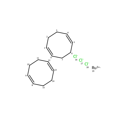 C1=CCCC=CCC1.C1=CCCC=CCC1.[Cl-].[Cl-].[Cl-].[Ru+3]